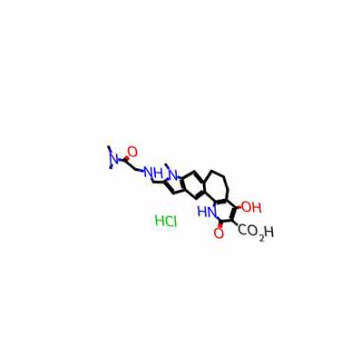 CN(C)C(=O)CNCc1cc2cc3c(cc2n1C)CCCc1c-3[nH]c(=O)c(C(=O)O)c1O.Cl